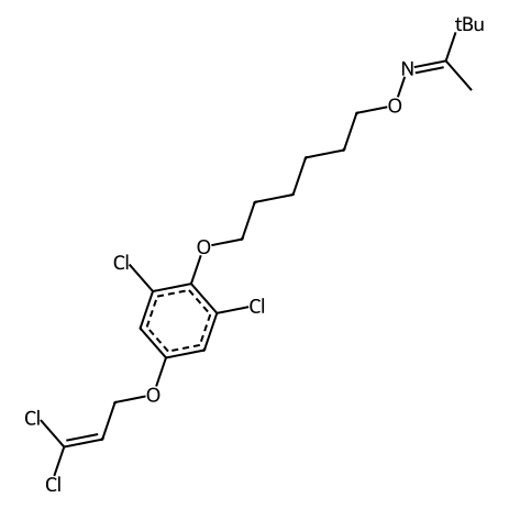 C/C(=N\OCCCCCCOc1c(Cl)cc(OCC=C(Cl)Cl)cc1Cl)C(C)(C)C